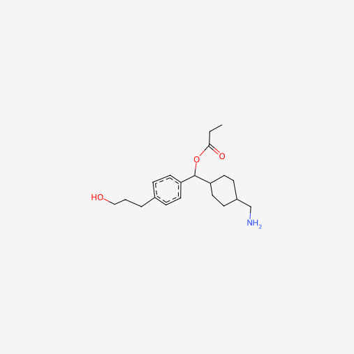 CCC(=O)OC(c1ccc(CCCO)cc1)C1CCC(CN)CC1